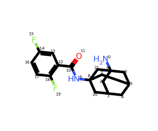 NC12CC3CC(C1)CC(NC(=O)c1cc(F)ccc1F)(C3)C2